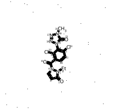 CCn1c(=O)ccn1C(=O)c1ccc(Cl)c(-n2nnn(C)c2=O)c1Cl